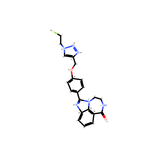 O=C1NCCn2c(-c3ccc(OCc4cn(CCF)nn4)cc3)nc3cccc1c32